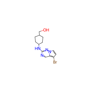 OCC1CCC(Nc2ncc3c(Br)ccn3n2)CC1